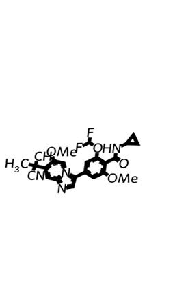 COc1cn2c(-c3cc(OC)c(C(=O)NC4CC4)c(OC(F)F)c3)cnc2cc1C(C)(C)C#N